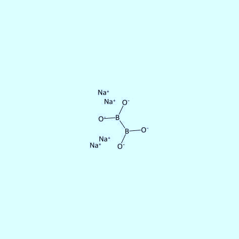 [Na+].[Na+].[Na+].[Na+].[O-]B([O-])B([O-])[O-]